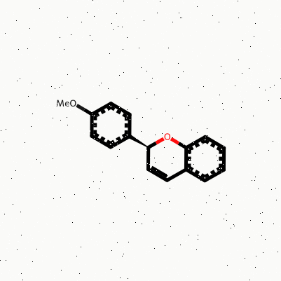 COc1ccc([C@@H]2C=Cc3ccccc3O2)cc1